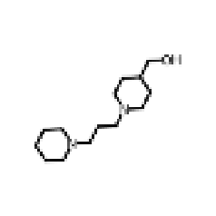 OCC1CCN(CCCN2CCCCC2)CC1